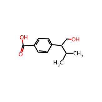 CC(C)C(CO)c1ccc(C(=O)O)cc1